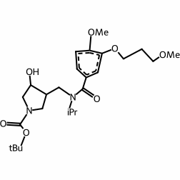 COCCCOc1cc(C(=O)N(CC2CN(C(=O)OC(C)(C)C)CC2O)C(C)C)ccc1OC